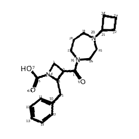 O=C(C1CN(C(=O)O)C1Cc1ccccc1)N1CCCN(C2CCC2)CC1